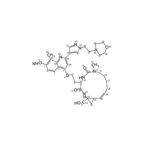 COc1ccc2c(OCCC3NC(=O)N(C)CCCCC=CC4CC4(C(=O)O)NC3=O)cc(-c3cnn(CCN4CCOCC4)c3)nc2c1C